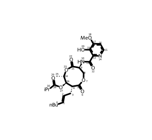 CCCC/C=C/C[C@H]1C(=O)OC[C@H](NC(=O)c2nccc(OC)c2O)C(=O)O[C@@H](C)[C@@H]1OC(=O)C(C)C